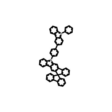 c1ccc(-n2c3ccccc3c3cc(-c4ccc(-n5c6ccccc6c6cc7c(cc65)-c5ccccc5C75c6ccccc6-c6ccccc65)cc4)ccc32)cc1